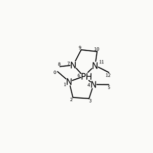 CN1CCN(C)[PH]12N(C)CCN2C